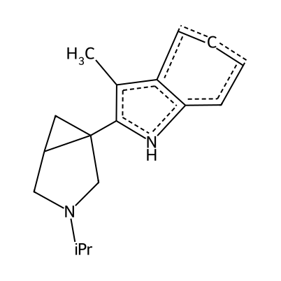 Cc1c(C23CC2CN(C(C)C)C3)[nH]c2ccccc12